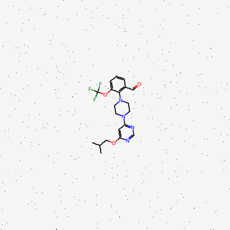 CC(C)COc1cc(N2CCN(c3c(C=O)cccc3OC(F)(F)F)CC2)ncn1